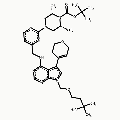 C[C@@H]1CN(c2nccc(CNc3ncnc4c3c(C3=CCOCC3)cn4COCC[Si](C)(C)C)n2)C[C@H](C)N1C(=O)OC(C)(C)C